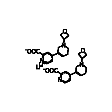 O=C([O-])c1cc(C2=CCCN(C3COC3)C2)ccn1.O=C([O-])c1cc(C2=CCCN(C3COC3)C2)ccn1.[Li+].[Li+]